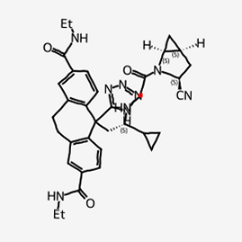 CCNC(=O)c1ccc2c(c1)CCc1cc(C(=O)NCC)ccc1C2(C[C@H](NCC(=O)N1[C@H](C#N)C[C@@H]2C[C@@H]21)C1CC1)c1nnn[nH]1